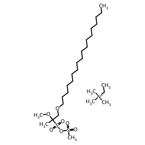 CCCCCCCCCCCCCCCCCCOCC(C)(OC)S(=O)(=O)OS(C)(=O)=O.CC[N+](C)(C)C